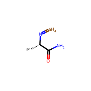 CC(C)[C@H](N=[SH4])C(N)=O